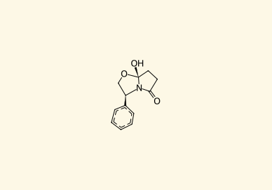 O=C1CC[C@@]2(O)OC[C@H](c3ccccc3)N12